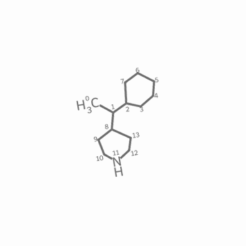 CC(C1CCCCC1)C1CCNCC1